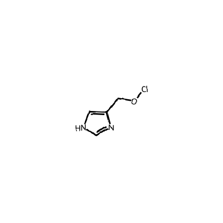 ClOCc1c[nH]cn1